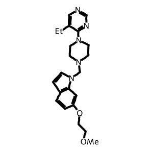 CCc1cncnc1N1CCN(Cn2ccc3ccc(OCCOC)cc32)CC1